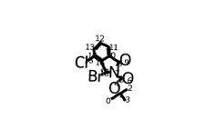 CC(C)(C)OC(=O)N1C(=O)c2cccc(Cl)c2C1Br